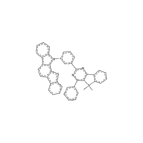 C[Si]1(C)c2ccccc2-c2nc(-c3cccc(-n4c5ccccc5c5ccc6c7ccccc7sc6c54)c3)nc(-c3ccccc3)c21